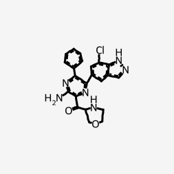 Nc1nc(-c2ccccc2)c(-c2cc(Cl)c3[nH]ncc3c2)nc1C(=O)C1COCCN1